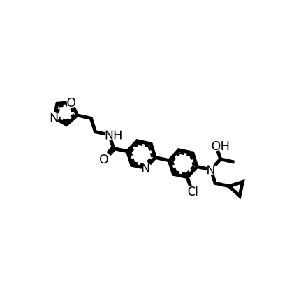 CC(O)N(CC1CC1)c1ccc(-c2ccc(C(=O)NCCc3cnco3)cn2)cc1Cl